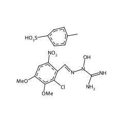 COc1cc([N+](=O)[O-])c(C=NN(O)C(=N)N)c(Cl)c1OC.Cc1ccc(S(=O)(=O)O)cc1